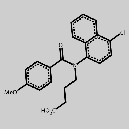 COc1ccc(C(=O)N(CCCC(=O)O)c2ccc(Cl)c3ccccc23)cc1